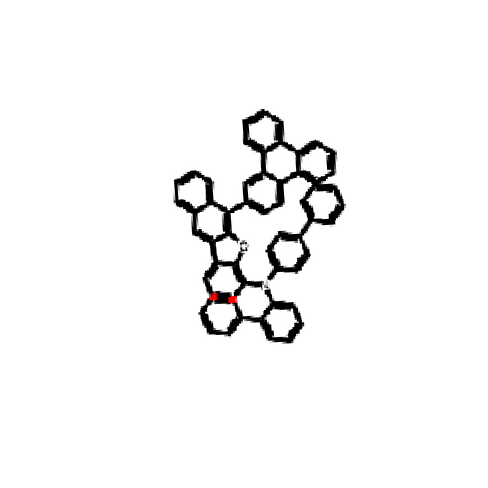 c1ccc(-c2ccc(N(c3ccccc3-c3ccccc3)c3cccc4c3oc3c(-c5ccc6c7ccccc7c7ccccc7c6c5)c5ccccc5cc34)cc2)cc1